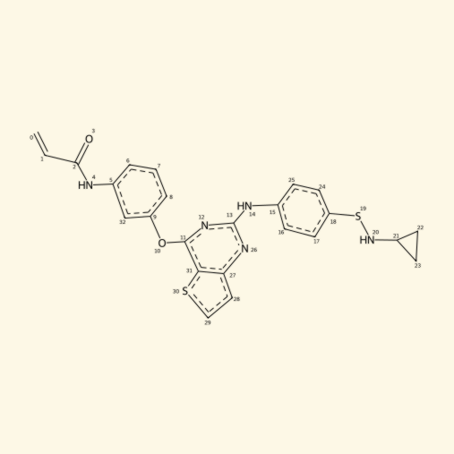 C=CC(=O)Nc1cccc(Oc2nc(Nc3ccc(SNC4CC4)cc3)nc3ccsc23)c1